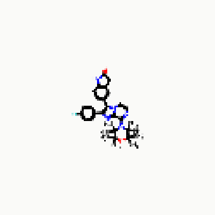 BC1(B)OC(B)(B)C(B)(B)N(c2nccn3c(-c4ccc5c(c4)CC(=O)N5)c(-c4ccc(F)cc4)nc23)C1(B)B